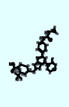 CC1COCCN1c1nc(-c2ccc(NC(=O)NC3CC3)cc2)nc2c1CN(CC1CCN(C(=O)O)[C@H](C(C)(C)C)C1)C2